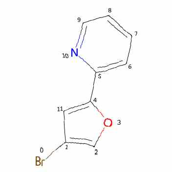 Brc1coc(-c2ccccn2)c1